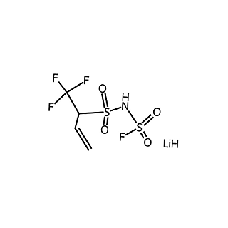 C=CC(C(F)(F)F)S(=O)(=O)NS(=O)(=O)F.[LiH]